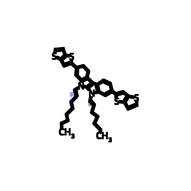 CCCCC/C=C/n1c2cc(-c3cc4sccc4s3)ccc2c2c3c(n(/C=C/CCCCCC)c21)C=C(c1cc2sccc2s1)CC3